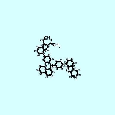 C=Cc1oc2c(-c3ccc(N(c4ccc(-c5cccc6c5oc5cnccc56)cc4)c4cccc5c4CCC=C5)cc3)cccc2c1CC